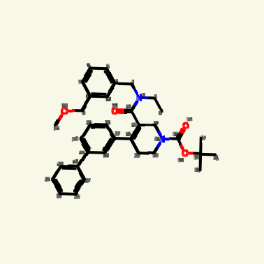 CCN(Cc1cccc(COC)c1)C(=O)C1=C(c2cccc(-c3ccccc3)c2)CCN(C(=O)OC(C)(C)C)C1